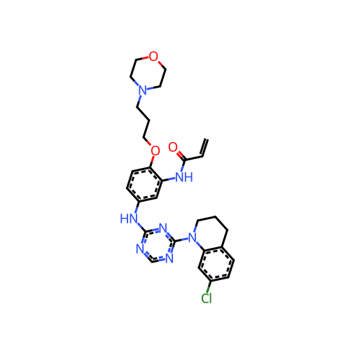 C=CC(=O)Nc1cc(Nc2ncnc(N3CCCc4ccc(Cl)cc43)n2)ccc1OCCCN1CCOCC1